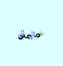 Fc1cc(C(F)(F)F)ccc1CNc1ccc(Cc2c[nH]c3ncccc23)cn1